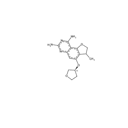 CC1COc2c1c(O[C@H]1CCOC1)cc1nc(N)nc(N)c21